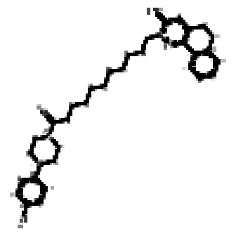 N=c1cc2c(nn1CCCCCCCCCCC(=O)N1CCN(c3ccc(Cl)cc3)CC1)-c1ccccc1CC2